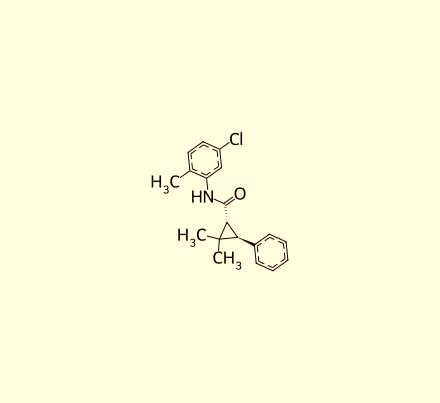 Cc1ccc(Cl)cc1NC(=O)[C@@H]1[C@@H](c2ccccc2)C1(C)C